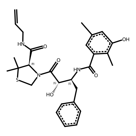 C=CCNC(=O)[C@H]1N(C(=O)[C@@H](O)[C@H](Cc2ccccc2)NC(=O)c2cc(C)cc(O)c2C)CSC1(C)C